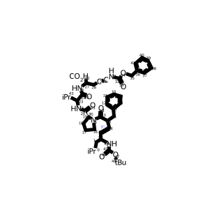 CC(C)CC(/C=C/C(Cc1ccccc1)C(=O)N1CCC[C@@H]1C(=O)NC(C(=O)NC(CCCNC(=O)OCc1ccccc1)C(=O)O)C(C)C)NC(=O)OC(C)(C)C